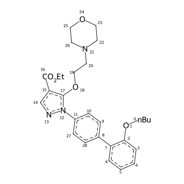 CCCCOc1ccccc1-c1ccc(-n2ncc(C(=O)OCC)c2OCCN2CCOCC2)cc1